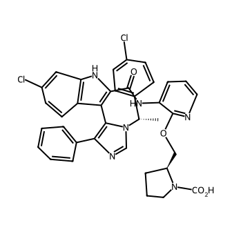 C[C@@H](c1ccc(Cl)cc1)n1cnc(-c2ccccc2)c1-c1c(C(=O)Nc2cccnc2OC[C@@H]2CCCN2C(=O)O)[nH]c2cc(Cl)ccc12